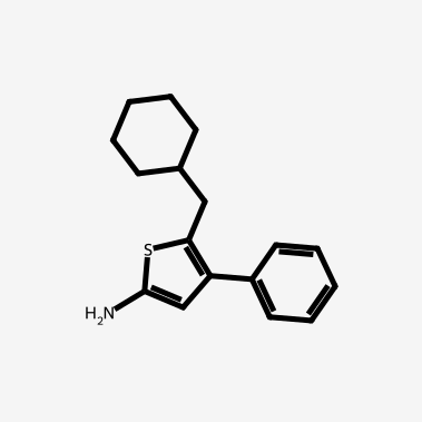 Nc1cc(-c2ccccc2)c(CC2CCCCC2)s1